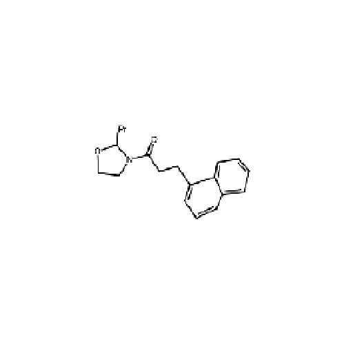 CC(C)C1OCCN1C(=O)CCc1cccc2ccccc12